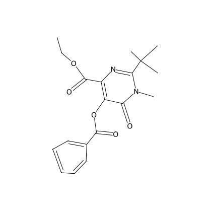 CCOC(=O)c1nc(C(C)(C)C)n(C)c(=O)c1OC(=O)c1ccccc1